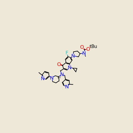 Cc1ccc(N2CCC[C@H](N(Cc3ccnc(C)c3)Cc3cn(C4CC4)c4cc(N5CCC(N(C)C(=O)OC(C)(C)C)C5)c(F)cc4c3=O)C2)cn1